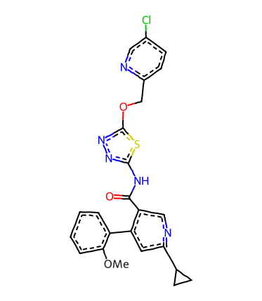 COc1ccccc1-c1cc(C2CC2)ncc1C(=O)Nc1nnc(OCc2ccc(Cl)cn2)s1